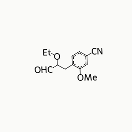 CCOC(C=O)Cc1ccc(C#N)cc1OC